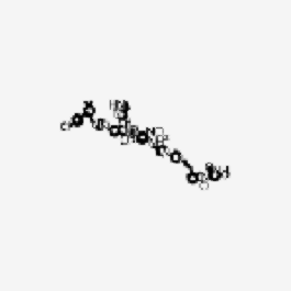 CC1(C)CCC(CN2CCN(c3ccc(C(=O)NS(=O)(=O)c4ccc(NCC5CCN(C6CCN(CCCc7cccc8c7CN(C7CCC(=O)NC7=O)C8=O)CC6)CC5)c([N+](=O)[O-])c4)c(Oc4cnc5[nH]ccc5c4)c3)CC2)=C(c2ccc(Cl)cc2)C1